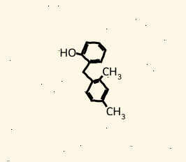 Cc1ccc(Cc2ccccc2O)c(C)c1